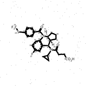 O=C(O)CCC(=O)N(C1CC1)C1c2cc(F)ccc2N(C(=O)c2ccc(SC(F)(F)F)cc2)[C@H]2CCC[C@H]12